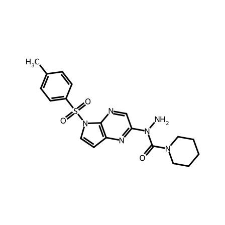 Cc1ccc(S(=O)(=O)n2ccc3nc(N(N)C(=O)N4CCCCC4)cnc32)cc1